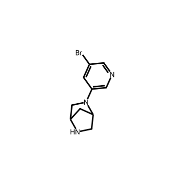 Brc1cncc(N2CC3CC2CN3)c1